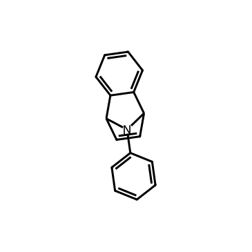 C1=CC2c3ccccc3C1N2c1ccccc1